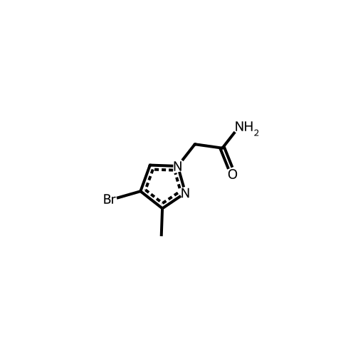 Cc1nn(CC(N)=O)cc1Br